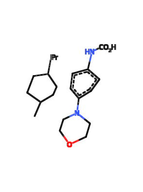 CC1CCC(C(C)C)CC1.O=C(O)Nc1ccc(N2CCOCC2)cc1